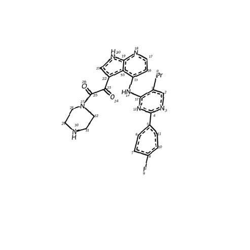 CC(C)c1cnc(-c2ccc(F)cc2)nc1Nc1ccnc2[nH]cc(C(=O)C(=O)N3CCNCC3)c12